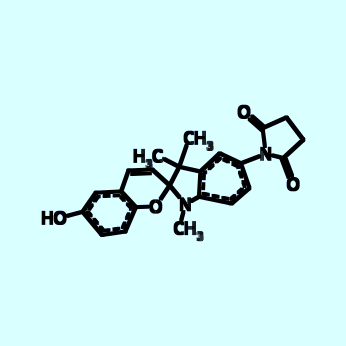 CN1c2ccc(N3C(=O)CCC3=O)cc2C(C)(C)C12C=Cc1cc(O)ccc1O2